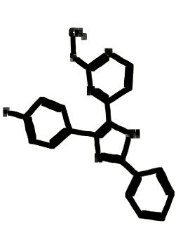 CSc1nccc(-c2[nH]c(-c3ccccc3)nc2-c2ccc(F)cc2)n1